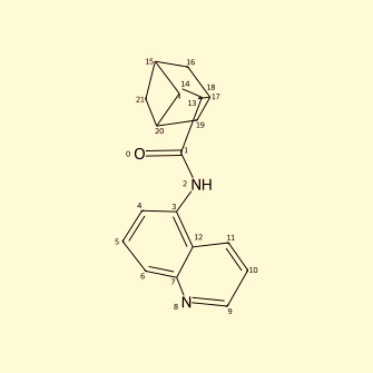 O=C(Nc1cccc2ncccc12)C1=C2C3CC(C1)CC2C3